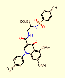 CCOC(=O)[C@H](CNC(=O)c1cn(-c2ccc([N+](=O)[O-])cc2)c2cc(OC)cc(OC)c2c1=O)NS(=O)(=O)c1ccc(C)cc1